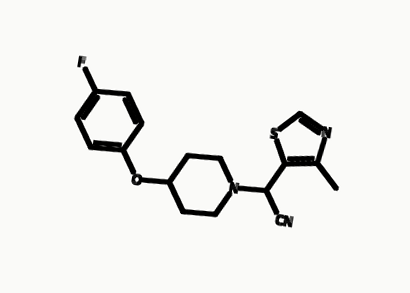 Cc1ncsc1C(C#N)N1CCC(Oc2ccc(F)cc2)CC1